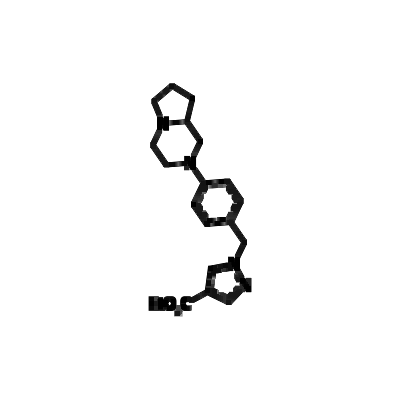 CCOC(=O)c1cnn(Cc2ccc(N3CCN4CCCC4C3)cc2)c1